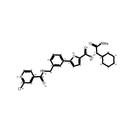 CNC(=O)[C@@H](NC(=O)c1ccc(-c2cccc(CNC(=O)c3ccnc(Cl)c3)c2)o1)C1CCCCC1